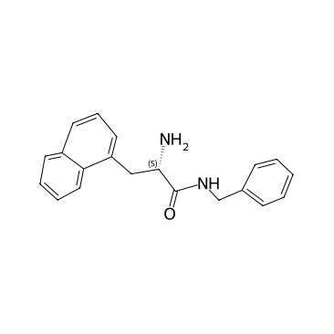 N[C@@H](Cc1cccc2ccccc12)C(=O)NCc1ccccc1